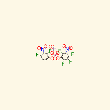 O=[N+]([O-])c1c(F)ccc(OP(=O)(O[I+][O-])Oc2c(F)c(F)c(F)c([N+](=O)[O-])c2F)c1F